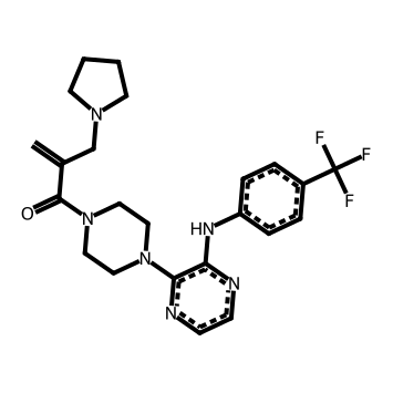 C=C(CN1CCCC1)C(=O)N1CCN(c2nccnc2Nc2ccc(C(F)(F)F)cc2)CC1